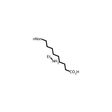 CCCCCCCCCCCCCCCCCC(=O)O.CCN